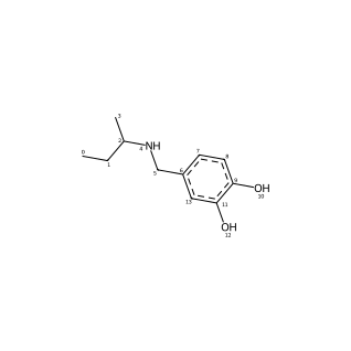 CCC(C)NCc1ccc(O)c(O)c1